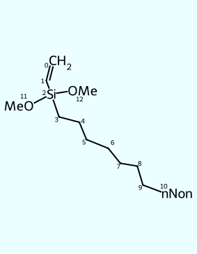 C=C[Si](CCCCCCCCCCCCCCCC)(OC)OC